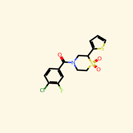 O=C(c1ccc(Cl)c(F)c1)N1CCS(=O)(=O)C(c2cccs2)C1